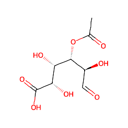 CC(=O)O[C@@H]([C@@H](O)[C@H](O)C(=O)O)[C@@H](O)C=O